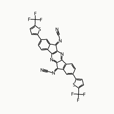 N#C/N=c1/c2cc(-c3ccc(C(F)(F)F)s3)ccc2c2nc3/c(=N/C#N)c4cc(-c5ccc(C(F)(F)F)s5)ccc4c3nc12